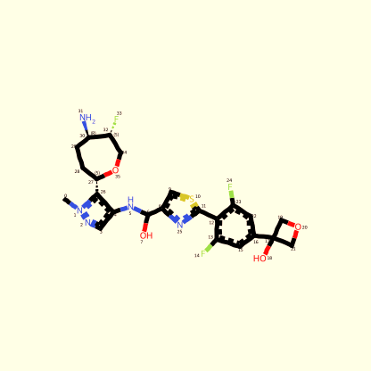 Cn1ncc(NC(O)c2csc(-c3c(F)cc(C4(O)COC4)cc3F)n2)c1[C@@H]1CC[C@@H](N)[C@H](F)CO1